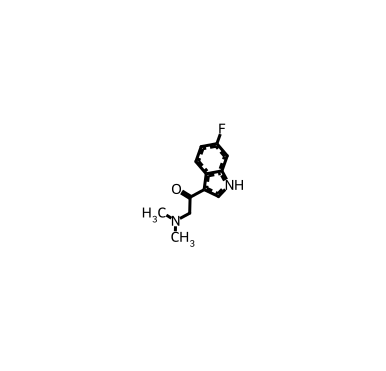 CN(C)CC(=O)c1c[nH]c2cc(F)ccc12